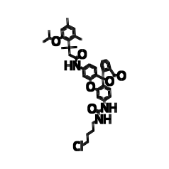 Cc1cc(C)c(C(C)(C)CC(=O)Nc2ccc3c(c2)Oc2cc(NC(=O)NCCCCCl)ccc2C32OC(=O)c3ccccc32)c(OC(C)C)c1